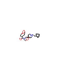 O=C(C1CCOCC1)N1CCOC2(CCN(CCc3ccccc3)CC2)C1